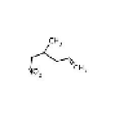 C=CCC(C)C[N+](=O)[O-]